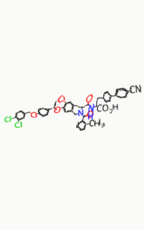 Cc1ccccc1C(=O)N1Cc2cc3c(cc2CC1C(=O)N[C@@H](Cc1ccc(-c2ccc(C#N)cc2)cc1)C(=O)O)OC[C@H](c1ccc(OCc2ccc(Cl)c(Cl)c2)cc1)O3